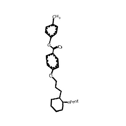 CCCCCC1CCCCC1CCCOc1ccc(C(=O)Oc2ccc(C)cc2)cc1